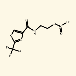 O=C(NCCO[N+](=O)[O-])c1csc(C(F)(F)F)n1